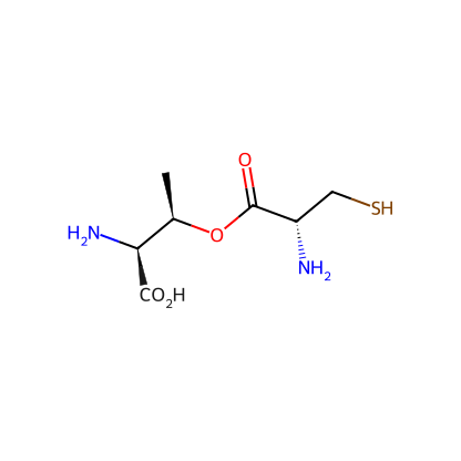 C[C@@H](OC(=O)[C@@H](N)CS)[C@H](N)C(=O)O